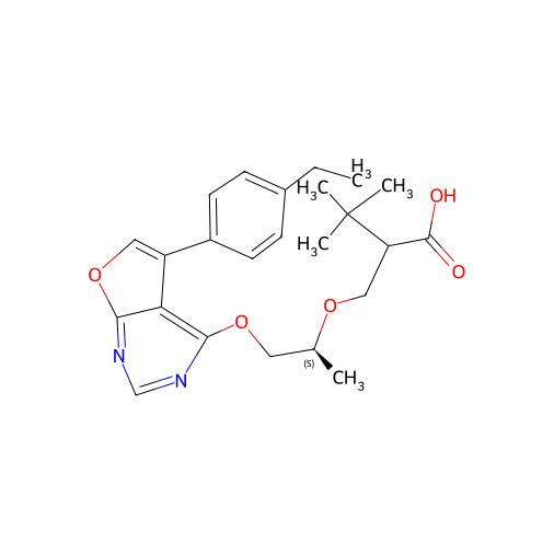 CCc1ccc(-c2coc3ncnc(OC[C@H](C)OCC(C(=O)O)C(C)(C)C)c23)cc1